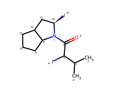 CC(C)C(I)C(=O)N1C2CCCC2C[C@H]1I